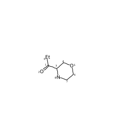 CCC(=O)C1COCC[N]1